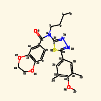 CCCCN(C(=O)c1ccc2c(c1)OCCO2)c1nnc(-c2cc(C)c(OC)c(C)c2)s1